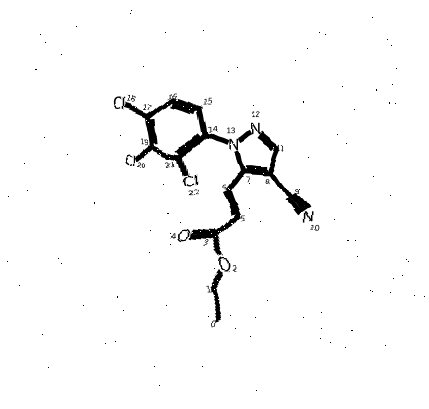 CCOC(=O)C=Cc1c(C#N)cnn1-c1ccc(Cl)c(Cl)c1Cl